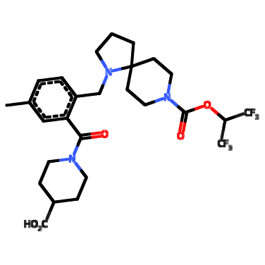 Cc1ccc(CN2CCCC23CCN(C(=O)OC(C(F)(F)F)C(F)(F)F)CC3)c(C(=O)N2CCC(C(=O)O)CC2)c1